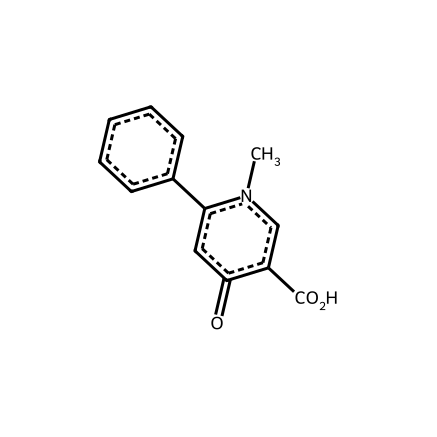 Cn1cc(C(=O)O)c(=O)cc1-c1ccccc1